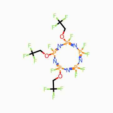 FC(F)(F)COP1(F)=NP(F)(F)=NP(F)(F)=NP(F)(OCC(F)(F)F)=NP(F)(OCC(F)(F)F)=N1